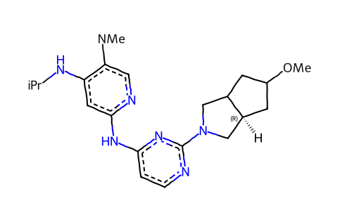 CNc1cnc(Nc2ccnc(N3CC4CC(OC)C[C@H]4C3)n2)cc1NC(C)C